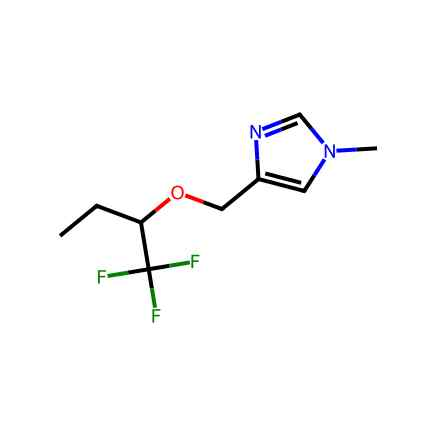 CCC(OCc1cn(C)cn1)C(F)(F)F